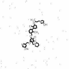 Cc1c(COc2cc(OCc3cncc(C#N)c3)c(CN3CCCC[C@H]3C(=O)O)cc2Cl)cccc1-c1cccc(O[C@H](C)CCN2CC[C@@H](O)C2)c1Cl